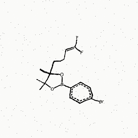 CC1(C)OB(c2ccc(Br)cc2)OC1(C)CCC=C(F)F